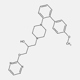 COc1ccc(-c2ccccc2N2CCN(CC(O)COc3ncccn3)CC2)cc1